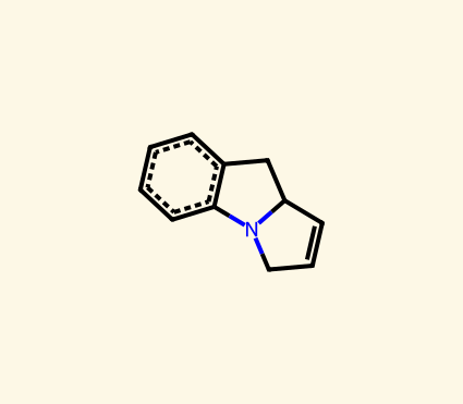 C1=CC2Cc3ccccc3N2C1